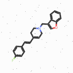 Fc1ccc(/C=C/C2=CCN(Cc3coc4ccccc34)CC2)cc1